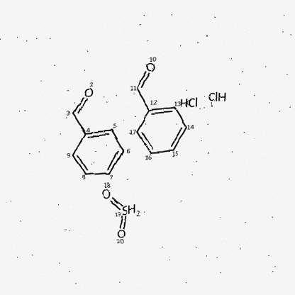 Cl.Cl.O=Cc1ccccc1.O=Cc1ccccc1.O=[SH2]=O